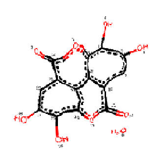 O.O=c1oc2c(O)c(O)cc3c(=O)oc4c(O)c(O)cc1c4c23